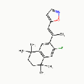 CC(=Cc1ccno1)c1cc2c(cc1F)C(C)(C)CCC2(C)C